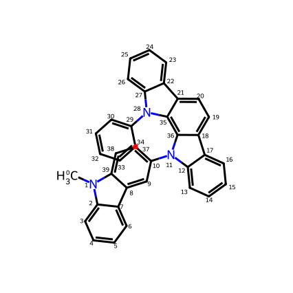 Cn1c2ccccc2c2cc(-n3c4ccccc4c4ccc5c6ccccc6n(-c6ccccc6)c5c43)ccc21